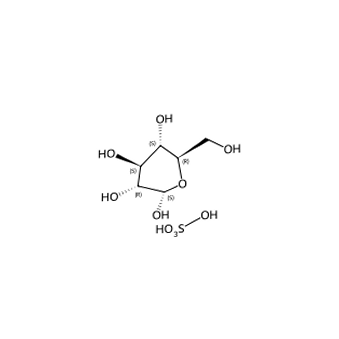 O=S(=O)(O)O.OC[C@H]1O[C@H](O)[C@H](O)[C@@H](O)[C@@H]1O